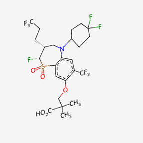 CC(C)(COc1cc2c(cc1C(F)(F)F)N(C1CCC(F)(F)CC1)C[C@@H](CCC(F)(F)F)[C@@H](F)S2(=O)=O)C(=O)O